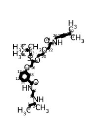 CCC(C)NCCNC(=O)c1cccc(OCC(OCCOCC(=O)NCC#CC(C)C)SSC(C)(C)C)c1